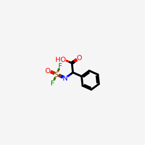 O=C(O)C(N=S(=O)(F)F)c1ccccc1